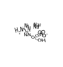 Nc1ncnc2c1ncn2COC(CO)OCP(=O)([O-])[O-].[Na+].[Na+]